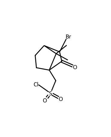 CC1(C)C2CCC1(CS(=O)(=O)Cl)C(=O)C2Br